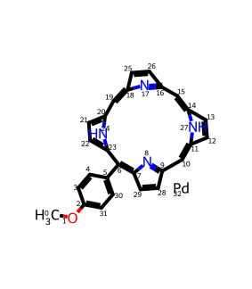 COc1ccc(-c2c3nc(cc4ccc(cc5nc(cc6ccc2[nH]6)C=C5)[nH]4)C=C3)cc1.[Pd]